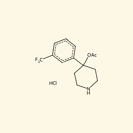 CC(=O)OC1(c2cccc(C(F)(F)F)c2)CCNCC1.Cl